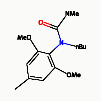 CCCCN(C(=O)NC)c1c(OC)cc(C)cc1OC